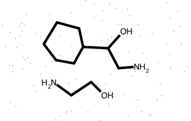 NCC(O)C1CCCCC1.NCCO